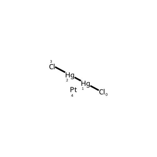 [Cl][Hg][Hg][Cl].[Pt]